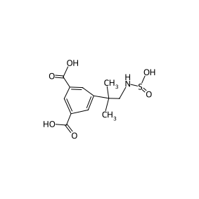 CC(C)(CNS(=O)O)c1cc(C(=O)O)cc(C(=O)O)c1